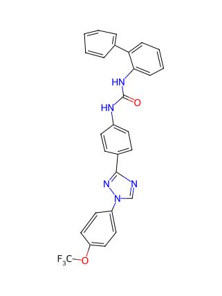 O=C(Nc1ccc(-c2ncn(-c3ccc(OC(F)(F)F)cc3)n2)cc1)Nc1ccccc1-c1ccccc1